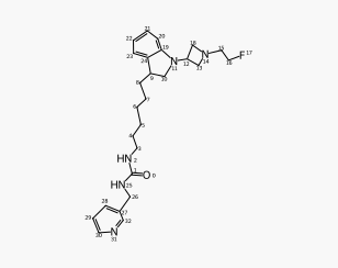 O=C(NCCCCCCC1CN(C2CN(CCF)C2)c2ccccc21)NCc1cccnc1